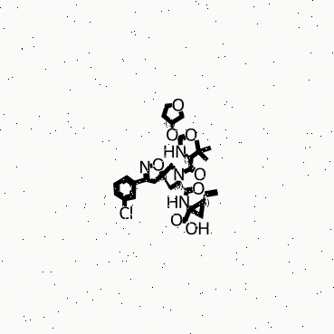 C=C[C@@H]1C[C@]1(NC(=O)[C@@H]1C[C@]2(CC(c3cccc(Cl)c3)=NO2)CN1C(=O)[C@@H](NC(=O)O[C@H]1CCOC1)C(C)(C)C)C(=O)O